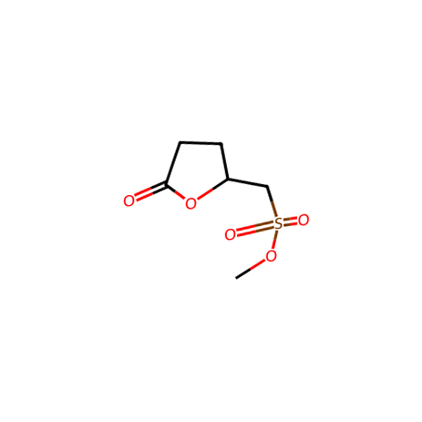 COS(=O)(=O)CC1CCC(=O)O1